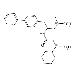 C[C@H](CC(Cc1ccc(-c2ccccc2)cc1)NC(=O)C[C@H](C(=O)O)C1CCCCC1)C(=O)O